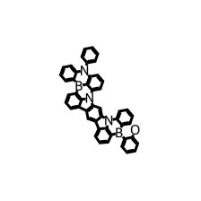 c1ccc(N2c3ccccc3B3c4c2cccc4-n2c4cc5c(cc4c4cccc3c42)c2cccc3c2n5-c2cccc4c2B3c2ccccc2O4)cc1